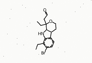 CCc1c(Br)ccc2c1NC1C2CCOC1(CC)CC=O